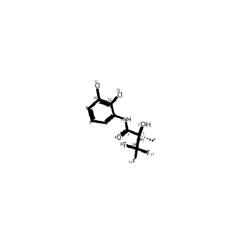 C[C@@](O)(C(=O)Nc1cccc(Cl)c1Cl)C(F)(F)F